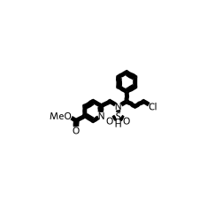 COC(=O)c1ccc(CN(C(CCCl)c2ccccc2)[SH](=O)=O)nc1